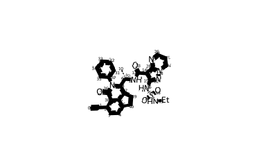 C#Cc1ccc2c3c(c([C@H](C)NC(=O)c4c(NS(=O)(=O)NCC)nn5cccnc45)n(-c4ccccc4)c(=O)c13)C=C2